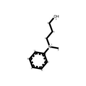 CN(CCCO)c1ccccc1